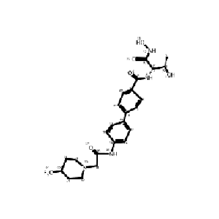 C[C@@H](O)[C@H](NC(=O)c1ccc(-c2ccc(NC(=O)CN3CCC(C(F)(F)F)CC3)cc2)cc1)C(=O)NO